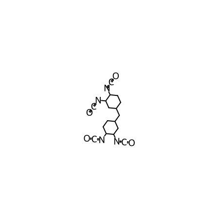 O=C=NC1CCC(CC2CCC(N=C=O)C(N=C=O)C2)CC1N=C=O